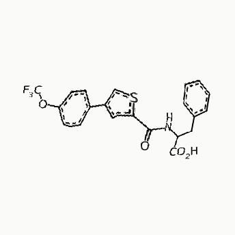 O=C(NC(Cc1ccccc1)C(=O)O)c1cc(-c2ccc(OC(F)(F)F)cc2)cs1